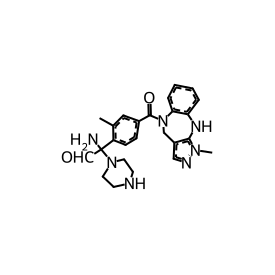 Cc1cc(C(=O)N2Cc3cnn(C)c3Nc3ccccc32)ccc1C(N)(C=O)N1CCNCC1